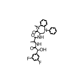 C[C@H](NC(=O)C(O)c1cc(F)cc(F)c1)C(=O)NC1CN(c2ccccc2)c2ccccc2N(C)C1=O